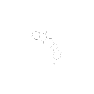 O=C1c2ccccc2C(=O)N1Cc1cc2cc(Br)ccc2o1